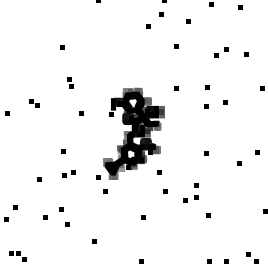 CC[C@](O)(C(=O)NCc1cc(C2CC2)cnc1OC)c1cccc(F)c1